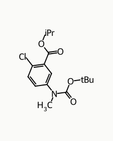 CC(C)OC(=O)c1cc(N(C)C(=O)OC(C)(C)C)ccc1Cl